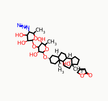 CC1O[C@@H](O[C@H]2CCC3(C)C4CCC5(C)[C@@H](C6=CC(=O)OC6)CC[C@]5(O)[C@@H]4CC[C@@H]3C2)[C@@H](O)C(O[C@@H]2OC(C)[C@H](N=[N+]=[N-])C(O)[C@@H]2O)[C@H]1O